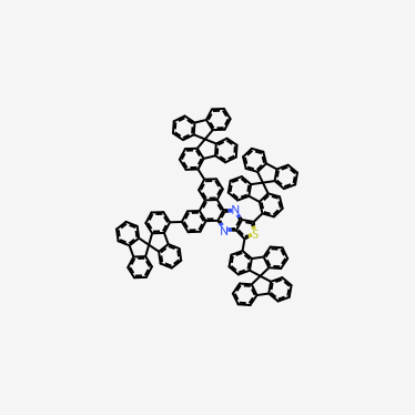 c1ccc2c(c1)-c1ccccc1C21c2ccccc2-c2c(-c3ccc4c(c3)c3cc(-c5cccc6c5-c5ccccc5C65c6ccccc6-c6ccccc65)ccc3c3nc5c(-c6cccc7c6-c6ccccc6C76c7ccccc7-c7ccccc76)sc(-c6cccc7c6-c6ccccc6C76c7ccccc7-c7ccccc76)c5nc43)cccc21